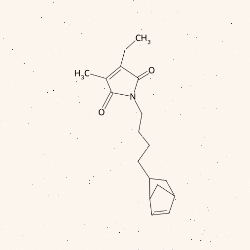 CCC1=C(C)C(=O)N(CCCCC2CC3C=CC2C3)C1=O